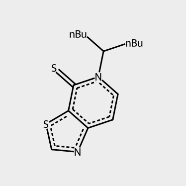 CCCCC(CCCC)n1ccc2ncsc2c1=S